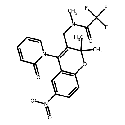 CN(CC1=C(n2ccccc2=O)c2cc([N+](=O)[O-])ccc2OC1(C)C)C(=O)C(F)(F)F